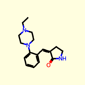 CCN1CCN(c2ccccc2C=C2CCNC2=O)CC1